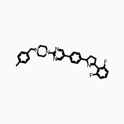 Cc1ccc(CN2CCN(c3ncc(-c4ccc(C5CCC(c6c(F)cccc6F)=N5)cc4)cn3)CC2)cc1